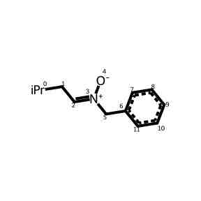 CC(C)CC=[N+]([O-])Cc1ccccc1